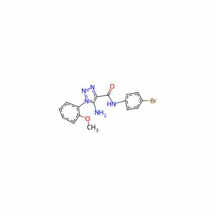 COc1ccccc1-n1nnc(C(=O)Nc2ccc(Br)cc2)c1N